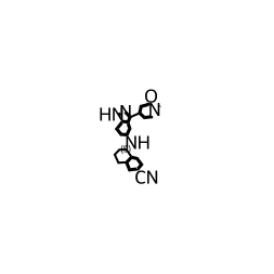 Cn1ccc(-c2n[nH]c3ccc(N[C@H]4CCCc5cc(C#N)ccc54)cc23)cc1=O